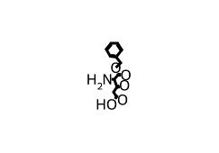 NC(C(=O)CC(=O)O)C(=O)OCc1ccccc1